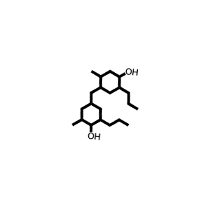 CCCC1CC(CC2CC(C)C(O)C(CCC)C2)C(C)CC1O